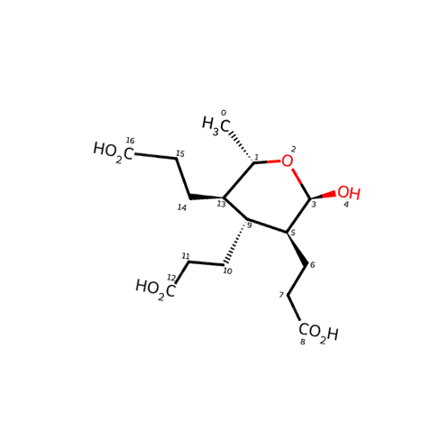 C[C@@H]1O[C@@H](O)[C@@H](CCC(=O)O)[C@H](CCC(=O)O)[C@H]1CCC(=O)O